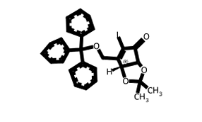 CC1(C)OC2C(=O)C(I)=C(COC(c3ccccc3)(c3ccccc3)c3ccccc3)[C@H]2O1